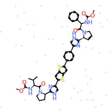 COC(=O)NC(C(=O)N1CC=C[C@H]1c1nc(-c2ccc(-c3cc4sc(-c5c[nH]c(C6CCCN6C(=O)C(NC(=O)OC)C(C)C)n5)cc4s3)cc2)c[nH]1)c1ccccc1